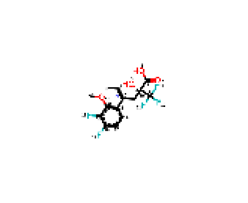 C/C=C(/C[C@@](O)(C(=O)O)C(F)(F)F)c1ccc(F)c(F)c1OC